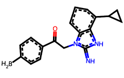 Bc1ccc(C(=O)Cn2c(=N)[nH]c3c(C4CC4)cccc32)cc1